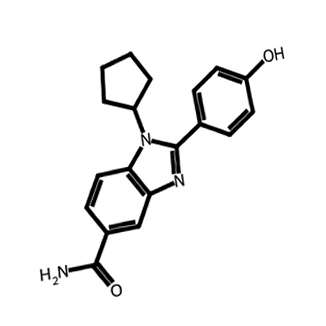 NC(=O)c1ccc2c(c1)nc(-c1ccc(O)cc1)n2C1CCCC1